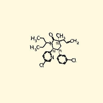 C=CC[C@@]1(C)C[C@H](c2cccc(Cl)c2)[C@@H](c2ccc(Cl)cn2)N(C(CC)CC)C1=O